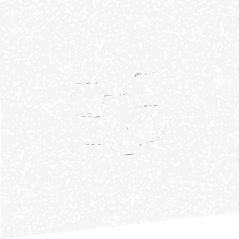 CCOC=O.NC(=O)N(c1cccnc1Cl)C1CCNCC1